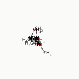 CCCCCCCCCCCCN1CCN(C)C1=NP(OCCCCCCC)OCCCOP(N=C1N(C)CCN1CCCCCCCCCCCC)OCCCOP(/N=C1/N(C)CCN1CCCCCCCCCCCC)OC